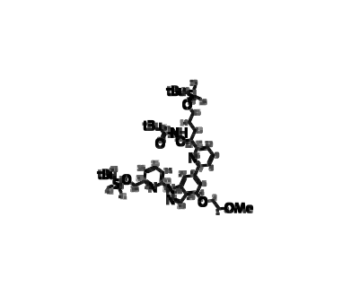 COCCOc1cc(-c2cccc(C(CCCO[Si](C)(C)C(C)(C)C)ONC(=O)C(C)(C)C)n2)cc2c1cnn2-c1cccc(CO[Si](C)(C)C(C)(C)C)n1